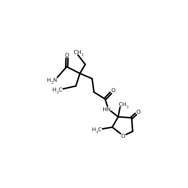 CCC(CC)(C[CH]C(=O)NC1(C)C(=O)COC1C)C(N)=O